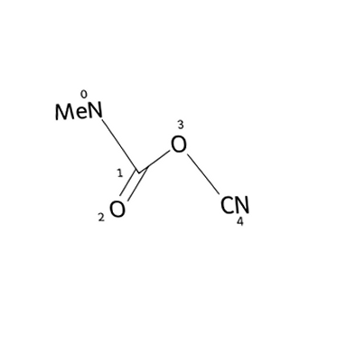 CNC(=O)OC#N